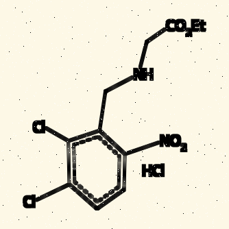 CCOC(=O)CNCc1c([N+](=O)[O-])ccc(Cl)c1Cl.Cl